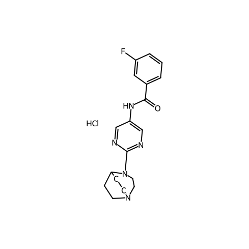 Cl.O=C(Nc1cnc(N2CCN3CCC2CC3)nc1)c1cccc(F)c1